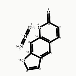 N=[N+]=N.O=c1ccc2cc3ccoc3cc2o1